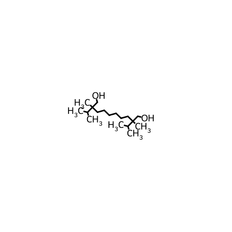 CC(C)C(C)(CO)CCCCCCC(C)(CO)C(C)C